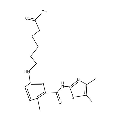 Cc1ccc(NCCCCCC(=O)O)cc1C(=O)Nc1nc(C)c(C)s1